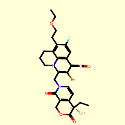 CCOCCc1c(F)cc2c3c1CCCN3C(Cn1ccc3c(c1=O)COC(=O)[C@]3(O)CC)=C(Br)C2=C=O